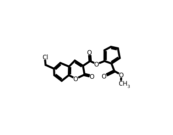 COC(=O)c1ccccc1OC(=O)c1cc2cc(CCl)ccc2oc1=O